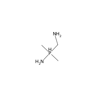 C[PH](C)(N)CN